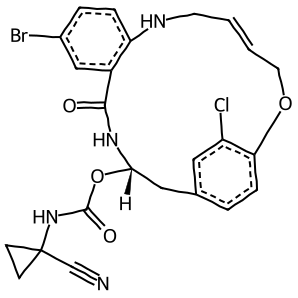 N#CC1(NC(=O)O[C@H]2Cc3ccc(c(Cl)c3)OC/C=C/CNc3ccc(Br)cc3C(=O)N2)CC1